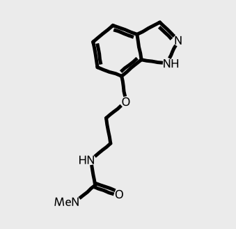 CNC(=O)NCCOc1cccc2cn[nH]c12